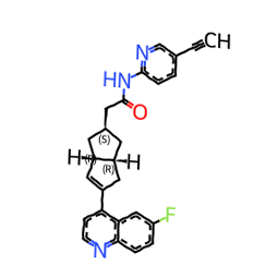 C#Cc1ccc(NC(=O)C[C@H]2C[C@@H]3CC(c4ccnc5ccc(F)cc45)=C[C@@H]3C2)nc1